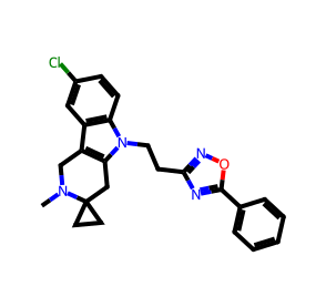 CN1Cc2c(n(CCc3noc(-c4ccccc4)n3)c3ccc(Cl)cc23)CC12CC2